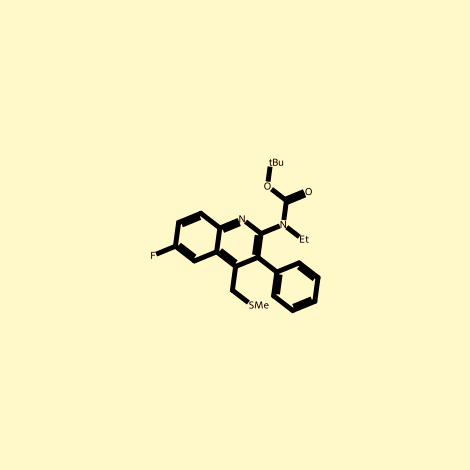 CCN(C(=O)OC(C)(C)C)c1nc2ccc(F)cc2c(CSC)c1-c1ccccc1